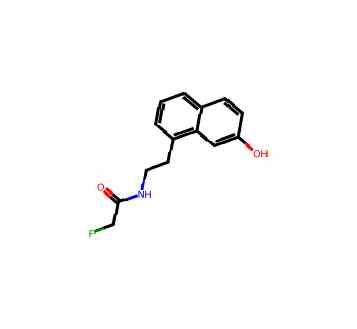 O=C(CF)NCCc1cccc2ccc(O)cc12